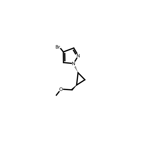 COC[C@@H]1C[C@H]1n1cc(Br)cn1